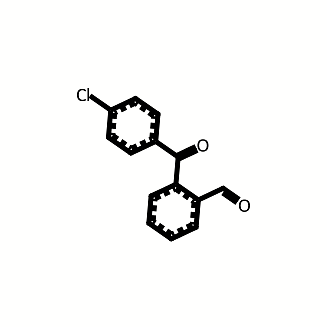 O=Cc1ccccc1C(=O)c1ccc(Cl)cc1